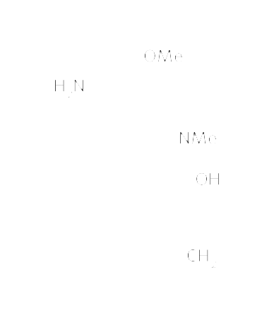 C=C(O)/C=C\C(NC)=C(/N)OC